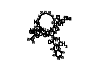 Cn1c(C(=O)N[C@@H]2C[C@H]3C(=O)N[C@]4(C(=O)NS(=O)(=O)C5CC5)C[C@H]4/C=C\CCCCC[C@H](NC(=O)OC(C)(C)C)C(=O)N3C2)cc2ccccc21